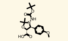 COc1ccc([C@H]2[C@H](C(=O)O)OC(C)(C)N2NC(=O)OC(C)(C)C)cc1